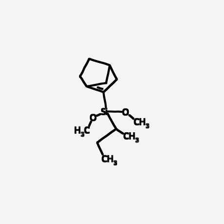 CCC(C)[Si](OC)(OC)C1=C2CCC(C2)C1